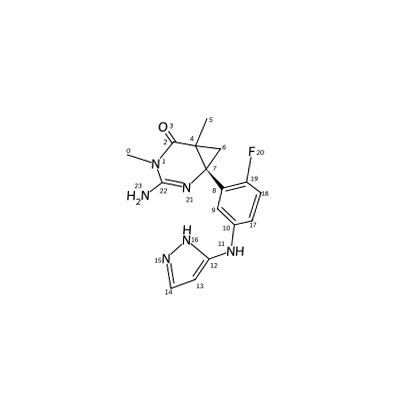 CN1C(=O)C2(C)C[C@]2(c2cc(Nc3ccn[nH]3)ccc2F)N=C1N